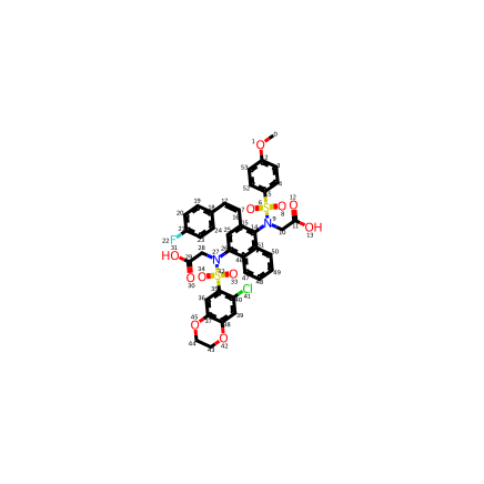 COc1ccc(S(=O)(=O)N(CC(=O)O)c2c(/C=C\c3ccc(F)cc3)cc(N(CC(=O)O)S(=O)(=O)c3cc4c(cc3Cl)OCCO4)c3ccccc23)cc1